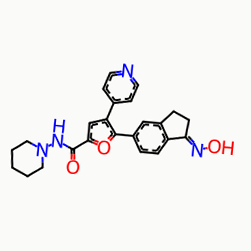 O=C(NN1CCCCC1)c1cc(-c2ccncc2)c(-c2ccc3c(c2)CCC3=NO)o1